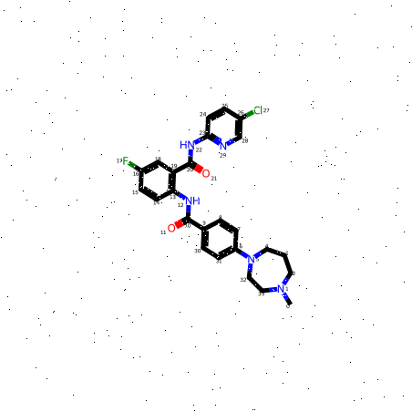 CN1CCCN(c2ccc(C(=O)Nc3ccc(F)cc3C(=O)Nc3ccc(Cl)cn3)cc2)CC1